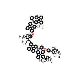 Cc1ccc(C2(c3ccc(Oc4ccc(C(CC(C)C)C(C)Cc5ccc6c(c5)-c5ccc(N(c7ccccc7)c7ccc8c(c7)C(c7ccc(Oc9ccc(C(CC(C)C)C(C)C)cc9)cc7)(c7ccc(C(C)(C)C)cc7)c7ccccc7-8)cc5C6(c5ccccc5)c5ccccc5)cc4)cc3)c3ccccc3-c3ccc(N(c4ccccc4)c4ccc5c(c4)C(c4ccccc4)(c4ccccc4)c4ccccc4-5)cc32)cc1